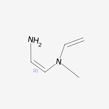 C=CN(C)/C=C\N